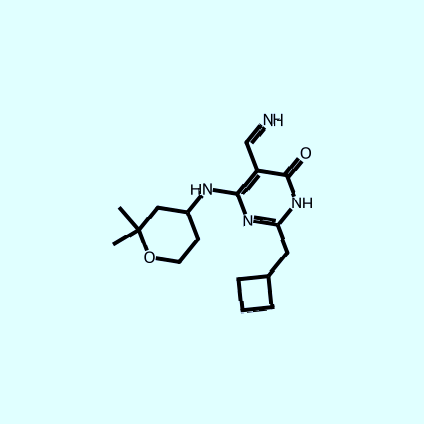 CC1(C)CC(Nc2nc(CC3CCC3)[nH]c(=O)c2C=N)CCO1